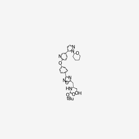 CC(C)(C)OC(=O)N[C@H](CO)Cc1nc(-c2ccc(Oc3ccc(-c4ccnn4C4CCCCO4)cn3)cc2)no1